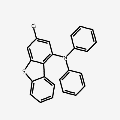 Clc1cc(N(c2ccccc2)c2ccccc2)c2c(c1)sc1ccccc12